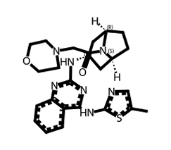 Cc1cnc(Nc2nc(N[C@@H]3C[C@H]4CC[C@@H](C3)N4C(=O)CN3CCOCC3)nc3ccccc23)s1